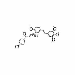 COc1ccc(C=Cc2cc(OC)c(OC)c(OC)c2)cc1NC=CC(=O)c1ccc(Cl)cc1